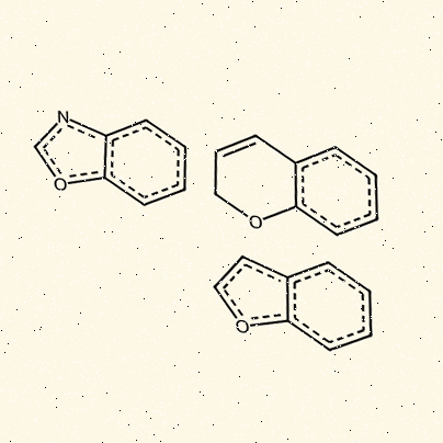 C1=Cc2ccccc2OC1.c1ccc2occc2c1.c1ccc2ocnc2c1